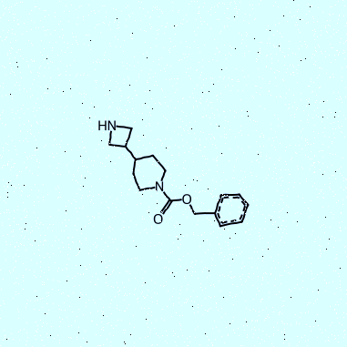 O=C(OCc1ccccc1)N1CCC(C2CNC2)CC1